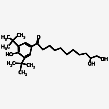 CC(C)(C)c1cc(C(=O)CCCCCCCCC(O)CO)cc(C(C)(C)C)c1O